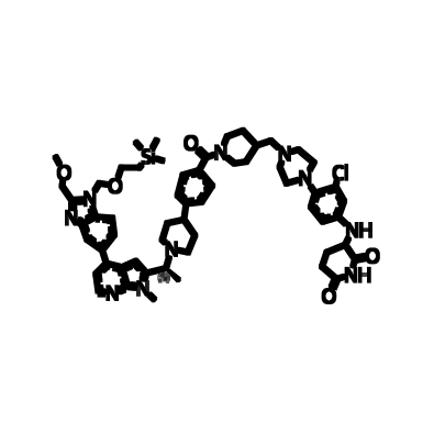 COCc1nc2cc(-c3ccnc4c3cc([C@H](C)N3CCC(c5ccc(C(=O)N6CCC(CN7CCN(c8ccc(NC9CCC(=O)NC9=O)cc8Cl)CC7)CC6)cc5)CC3)n4C)ccc2n1COCC[Si](C)(C)C